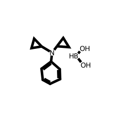 OBO.c1ccc(N(C2CC2)C2CC2)cc1